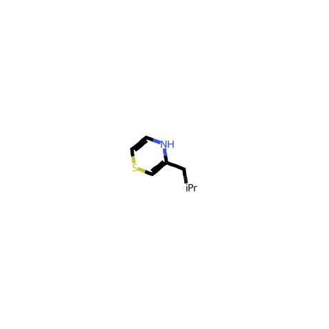 CC(C)CC1=CSC=CN1